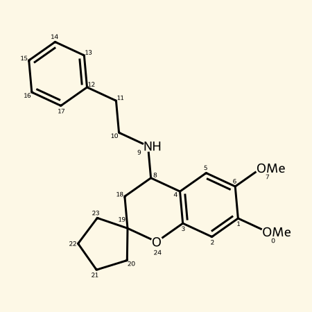 COc1cc2c(cc1OC)C(NCCc1ccccc1)CC1(CCCC1)O2